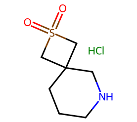 Cl.O=S1(=O)CC2(CCCNC2)C1